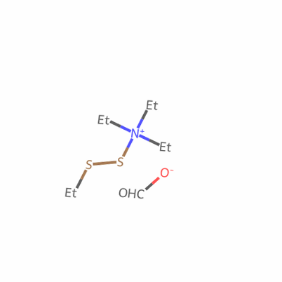 CCSS[N+](CC)(CC)CC.O=C[O-]